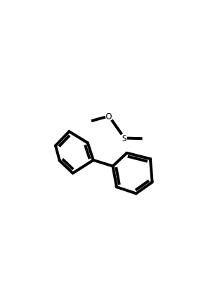 COSC.c1ccc(-c2ccccc2)cc1